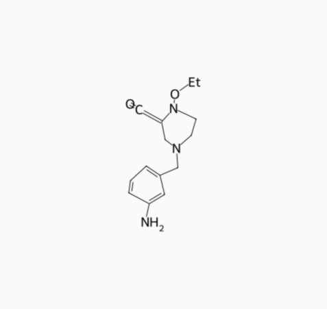 CCON1CCN(Cc2cccc(N)c2)CC1=C=O